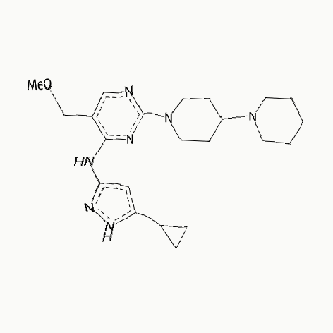 COCc1cnc(N2CCC(N3CCCCC3)CC2)nc1Nc1cc(C2CC2)[nH]n1